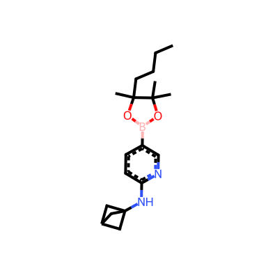 CCCCC1(C)OB(c2ccc(NC34CC(C3)C4)nc2)OC1(C)C